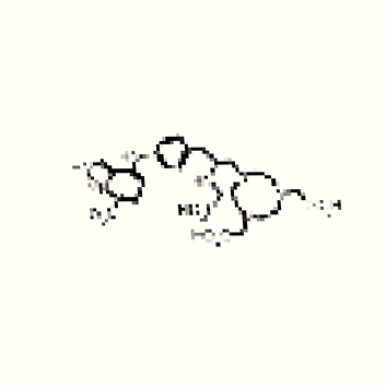 O=C(O)CNC(Cc1ccc(NC2=CC=C([N+](=O)[O-])N3ONC=C23)cc1)CN1CCN(CC(=O)O)CCN(CC(=O)O)CC1